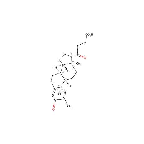 CC1=C[C@@]2(C)C(=CC1=O)CC[C@H]1[C@@H]3CC[C@H](C(=O)CCC(=O)O)[C@@]3(C)CC[C@@H]12